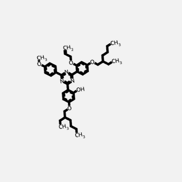 C=CCOc1cc(OCC(CC)CCCC)ccc1-c1nc(-c2ccc(OC)cc2)nc(-c2ccc(OCC(CC)CCCC)cc2O)n1